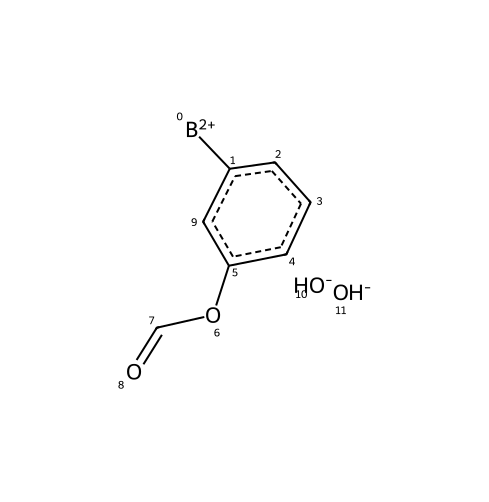 [B+2]c1cccc(OC=O)c1.[OH-].[OH-]